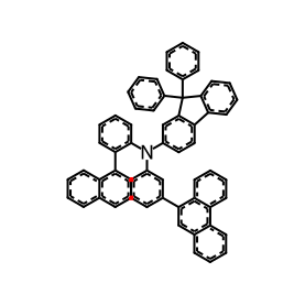 c1ccc(C2(c3ccccc3)c3ccccc3-c3ccc(N(c4cccc(-c5cc6ccccc6c6ccccc56)c4)c4ccccc4-c4cccc5ccccc45)cc32)cc1